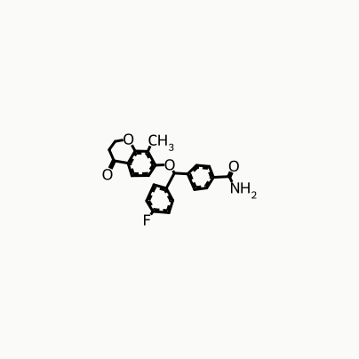 Cc1c(OC(c2ccc(F)cc2)c2ccc(C(N)=O)cc2)ccc2c1OCCC2=O